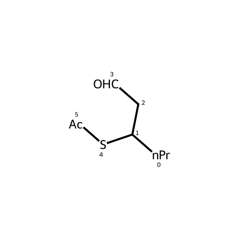 CCCC(CC=O)SC(C)=O